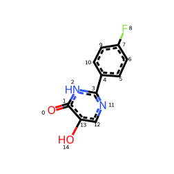 O=c1[nH]c(-c2ccc(F)cc2)ncc1O